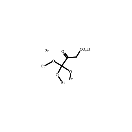 CCOC(=O)CC(=O)C(OCC)(OCC)OCC.[Zr]